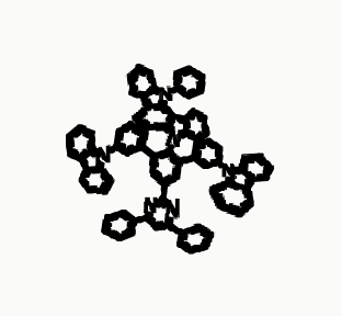 c1ccc(-c2cc(-c3ccccc3)nc(-c3cc(-c4cccc(-n5c6ccccc6c6ccccc65)c4)c(-n4c5ccccc5c5c4ccc4c6ccccc6n(-c6ccccc6)c45)c(-c4cccc(-n5c6ccccc6c6ccccc65)c4)c3)n2)cc1